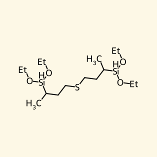 CCO[SiH](OCC)C(C)CCSCCC(C)[SiH](OCC)OCC